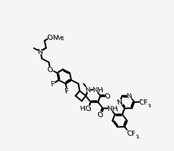 COCCN(C)CCOc1ccc(CC2CCC23C(O)=C(C(=O)Nc2ccc(C(F)(F)F)cc2-c2cc(C(F)(F)F)ncn2)C(=O)NN3C)c(F)c1F